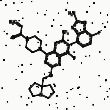 C=CC(=O)N1CCN(c2nc(OCC34CCCN3CCC4)nc3c(F)c(-c4ccc(F)c5oc(N)nc45)c(C(F)(F)F)cc23)CC1